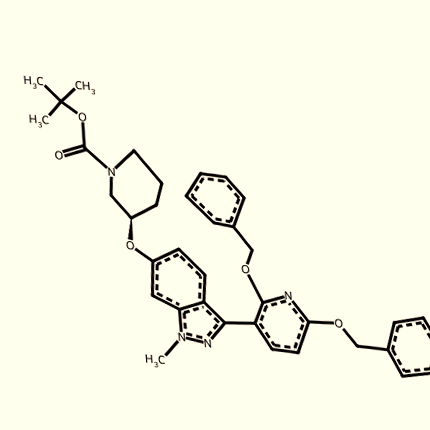 Cn1nc(-c2ccc(OCc3ccccc3)nc2OCc2ccccc2)c2ccc(O[C@@H]3CCCN(C(=O)OC(C)(C)C)C3)cc21